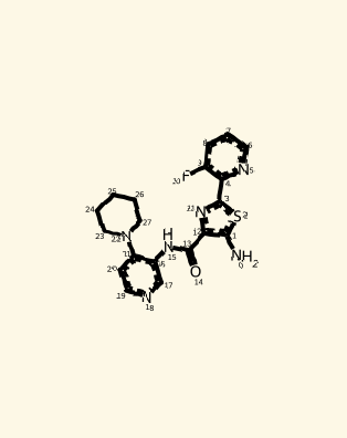 Nc1sc(-c2ncccc2F)nc1C(=O)Nc1cnccc1N1CCCCC1